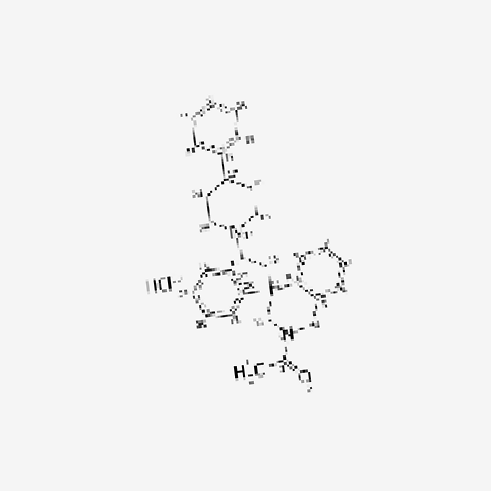 CC(=O)N1Cc2ccccc2C(CCN2CCC(c3ccccc3)CC2)(c2ccccc2)C1.Cl